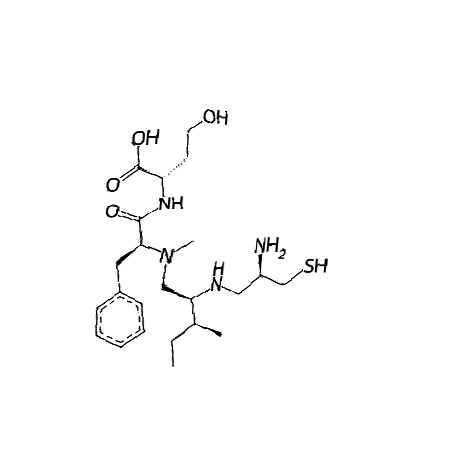 CC[C@H](C)[C@@H](CN(C)[C@@H](Cc1ccccc1)C(=O)N[C@@H](CCO)C(=O)O)NC[C@@H](N)CS